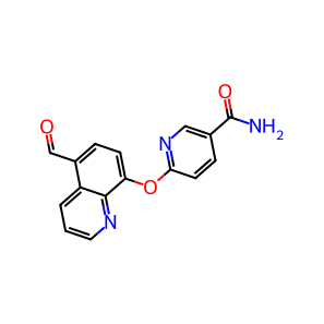 NC(=O)c1ccc(Oc2ccc(C=O)c3cccnc23)nc1